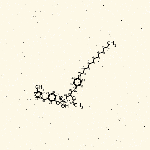 CCCCCCCCCCCCOc1ccc(OCC(COP(=O)(O)Oc2cccc(C[n+]3csc(C)c3)c2)OCC)cc1